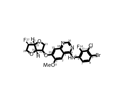 COc1cc2c(Nc3ccc(Br)c(Cl)c3F)ncnc2cc1OC1CO[C@H]2[C@H](F)CO[C@@H]12